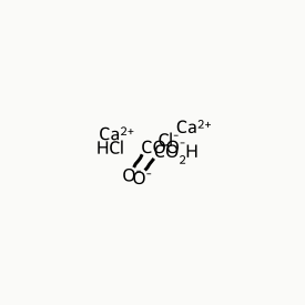 Cl.O=C([O-])O.O=C([O-])[O-].[Ca+2].[Ca+2].[Cl-]